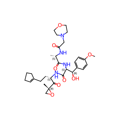 COc1ccc([C@@H](O)[C@H](NC(=O)[C@H](C)NC(=O)CN2CCOCC2)C(=O)N[C@@H](CCC2=CCCC2)C(=O)[C@@]2(C)CO2)cc1